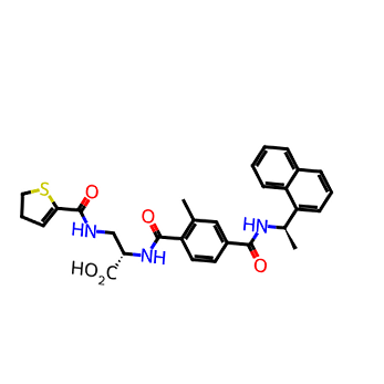 Cc1cc(C(=O)N[C@H](C)c2cccc3ccccc23)ccc1C(=O)N[C@@H](CNC(=O)C1=CCCS1)C(=O)O